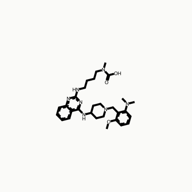 COc1cccc(N(C)C)c1CN1CCC(Nc2nc(NCCCCN(C)C(=O)O)nc3ccccc23)CC1